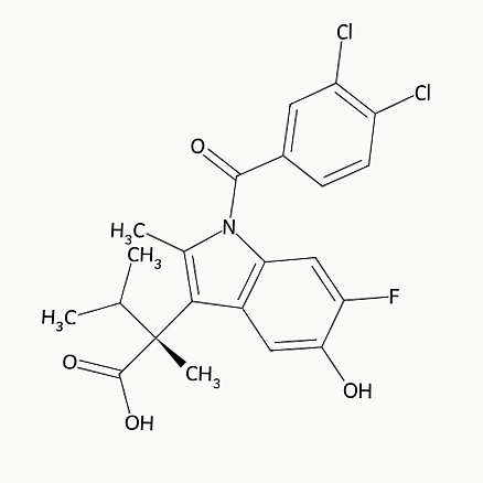 Cc1c([C@](C)(C(=O)O)C(C)C)c2cc(O)c(F)cc2n1C(=O)c1ccc(Cl)c(Cl)c1